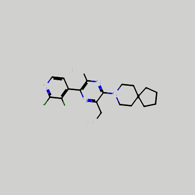 CCc1nc(-c2ccnc(Cl)c2Cl)c(C)nc1N1CCC2(CCCC2)CC1